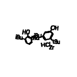 CC(C)(C)c1cc(O)cc(C(C)(C)C)c1.CCC(C)c1cccc(C(C)CC)c1O.Cl.[Zr]